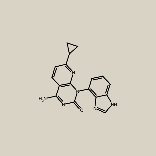 Nc1nc(=O)n(-c2cccc3[nH]cnc23)c2nc(C3CC3)ccc12